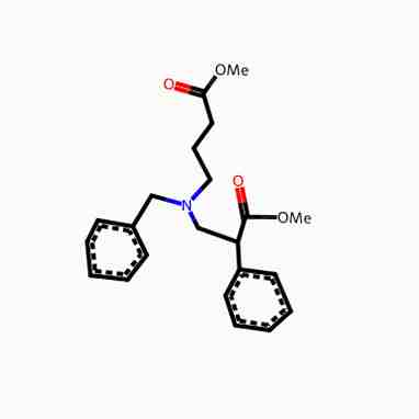 COC(=O)CCCN(Cc1ccccc1)CC(C(=O)OC)c1ccccc1